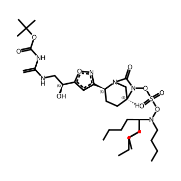 C=C(NC[C@H](O)c1cc([C@@H]2CC[C@H]3CN2C(=O)N3OS(=O)(=O)ON(CCCC)C(CCC)(CCCC)CCCC)no1)NC(=O)OC(C)(C)C